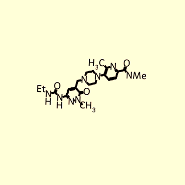 CCNC(=O)Nc1cc(CN2CCN(c3ccc(C(=O)NC)nc3C)CC2)c(=O)n(C)n1